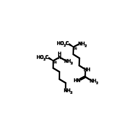 N=C(N)NCCC[C@H](N)C(=O)O.NCCCC[C@H](NN)C(=O)O